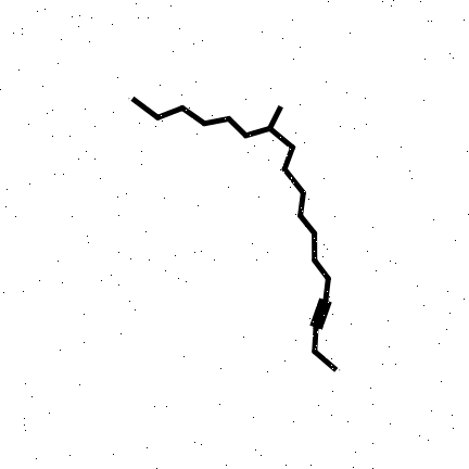 [CH2]CC#CCCCCCCCC(C)CCCCC[CH2]